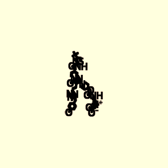 COc1ccc(Cn2nnc(C=Cc3c(N4CCC(OC(=O)NCC[N+](C)(C)CC(=O)[O-])CC4)nc4cc(C(=O)Nc5nc(C(C)(C)C)cs5)ccn4c3=O)n2)cc1